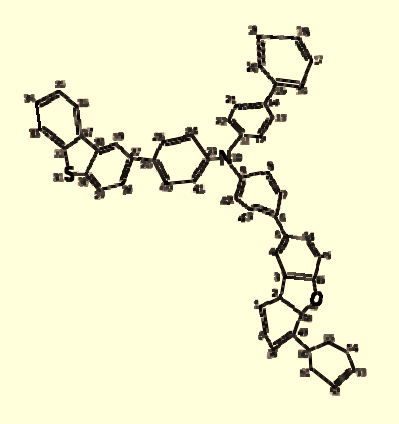 C1=CC2c3cc(-c4ccc(N(c5ccc(-c6ccccc6)cc5)c5ccc(-c6ccc7sc8ccccc8c7c6)cc5)cc4)ccc3OC2C(C2CC=CCC2)=C1